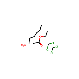 CCCCCC.CCOC(C)=O.ClCCl.ClCCl.O